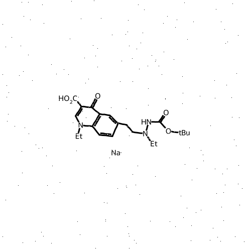 CCN(CCc1ccc2c(c1)c(=O)c(C(=O)O)cn2CC)NC(=O)OC(C)(C)C.[Na]